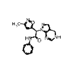 Cc1cc(C(C(=O)Nc2ccccc2)n2ncc3c2N=CNC3)on1